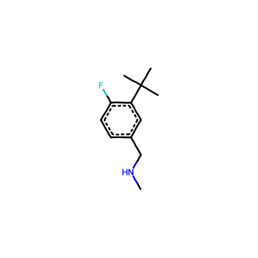 CNCc1ccc(F)c(C(C)(C)C)c1